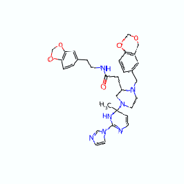 CC1(N2CCN(Cc3ccc4c(c3)COCO4)C(CC(=O)NCCc3ccc4c(c3)OCO4)C2)C=CN=C(n2ccnc2)N1